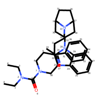 CCN(CC)C(=O)N1CCC(CCN2C3CCC2CC(n2c(C)nc4ccccc42)C3)(c2ccccc2)CC1